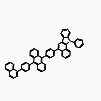 c1ccc(-n2c3ccccc3c3cc(-c4ccc(-c5c6ccccc6c(-c6ccc(-c7cccc8ccccc78)cc6)c6ccccc56)cc4)c4ccccc4c32)cc1